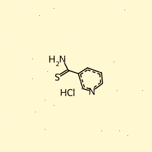 Cl.NC(=S)c1cccnc1